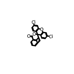 O=C1OC2(c3ccc(Cl)cc3Oc3cc(Cl)ccc32)c2cccc3cccc1c23